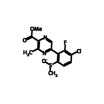 COC(=O)c1ncc(-c2c([S+](C)[O-])ccc(Cl)c2F)nc1C